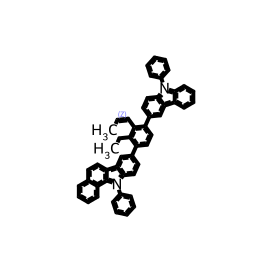 C/C=C\c1c(-c2ccc3c(c2)c2ccccc2n3-c2ccccc2)ccc(-c2ccc3c(c2)c2ccc4ccccc4c2n3-c2ccccc2)c1CC